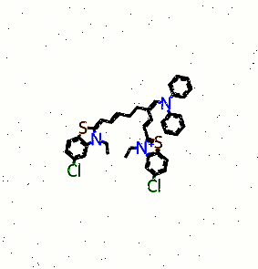 CCN1C(=CC=CCC/C(C=Cc2sc3ccc(Cl)cc3[n+]2CC)=C/N(c2ccccc2)c2ccccc2)Sc2ccc(Cl)cc21